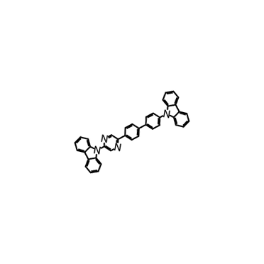 c1ccc2c(c1)c1ccccc1n2-c1ccc(-c2ccc(-c3cnc(-n4c5ccccc5c5ccccc54)cn3)cc2)cc1